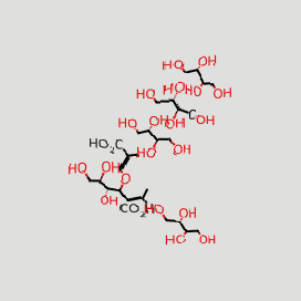 CC(=COC(C=C(C)C(=O)O)[C@H](O)[C@H](O)CO)C(=O)O.OC[C@@H](O)[C@@H](O)CO.OC[C@@H](O)[C@@H](O)CO.OC[C@@H](O)[C@@H](O)CO.OC[C@@H](O)[C@@H](O)CO